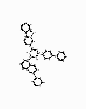 c1ccc(-c2ccc(-c3nc(-c4ccc5c(c4)oc4ccccc45)nc(-c4cccc5cc(-c6ccccc6)ccc45)n3)cc2)cc1